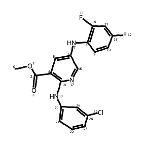 COC(=O)c1cc(Nc2ccc(F)cc2F)cnc1Nc1cccc(Cl)c1